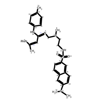 CN/C(C)=C\C(=N/CN(C)CCNS(=O)(=O)c1ccc2cc(N(C)C)ccc2c1)Nc1ccc(C)cc1